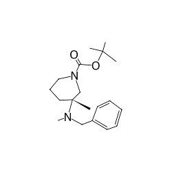 CN(Cc1ccccc1)[C@]1(C)CCCN(C(=O)OC(C)(C)C)C1